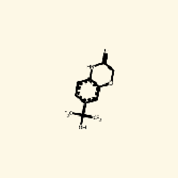 O=C1COc2cc(C(O)(C(F)(F)F)C(F)(F)F)ccc2N1